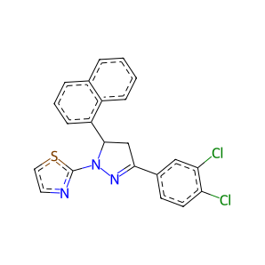 Clc1ccc(C2=NN(c3nccs3)C(c3cccc4ccccc34)C2)cc1Cl